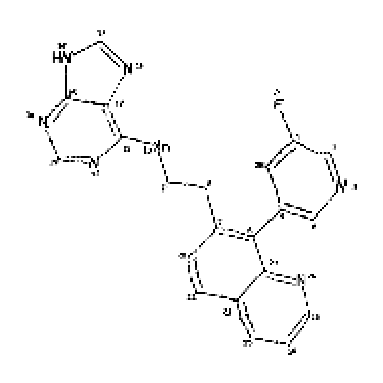 Fc1cncc(-c2c(CCNc3ncnc4[nH]cnc34)ccc3cccnc23)c1